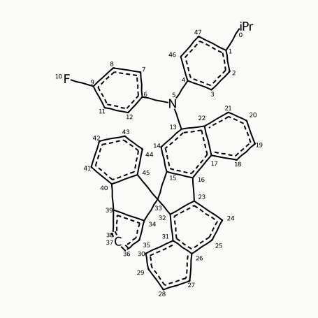 CC(C)c1ccc(N(c2ccc(F)cc2)c2cc3c(c4ccccc24)-c2ccc4ccccc4c2C32c3ccccc3-c3ccccc32)cc1